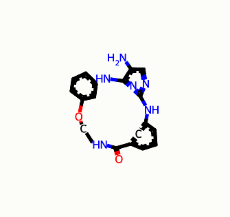 Nc1cnc2nc1Nc1cccc(c1)OCCNC(=O)c1cccc(c1)N2